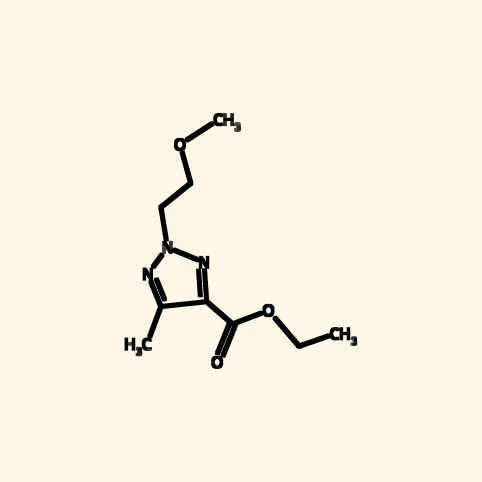 CCOC(=O)c1nn(CCOC)nc1C